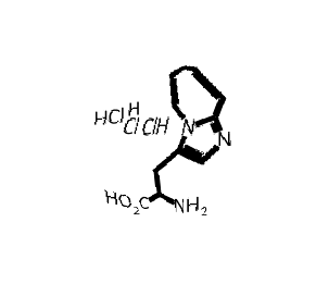 Cl.Cl.Cl.NC(Cc1cnc2ccccn12)C(=O)O